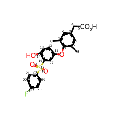 Cc1cc(CC(=O)O)cc(C)c1Oc1ccc(O)c(S(=O)(=O)c2ccc(F)cc2)c1